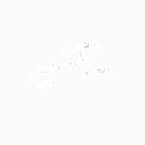 NC(=O)Cc1cc(OCc2ccccc2)ccc1[N+](=O)[O-]